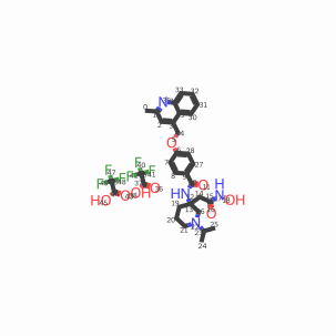 Cc1cc(COc2ccc(C(=O)NC3(CC(=O)NO)CCCN(C(C)C)C3)cc2)c2ccccc2n1.O=C(O)C(F)(F)F.O=C(O)C(F)(F)F